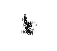 N=C(N)c1cccc(NC(C(=O)NCC(=O)N2CCN(c3ccc(F)cc3F)CC2)c2ccccc2OC2OC(CO)C(O)C(O)C2O)c1